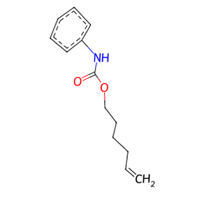 C=CCCCCOC(=O)Nc1ccccc1